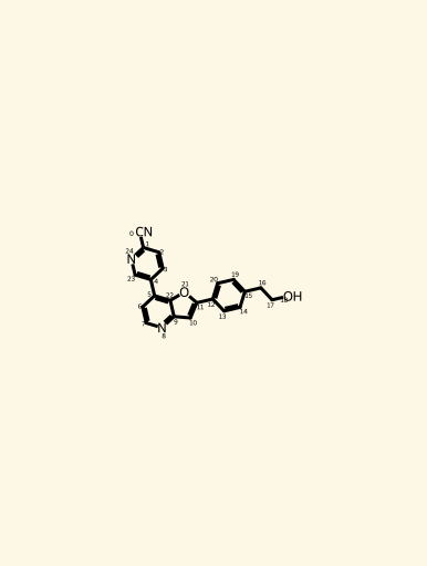 N#Cc1ccc(-c2ccnc3cc(-c4ccc(CCO)cc4)oc23)cn1